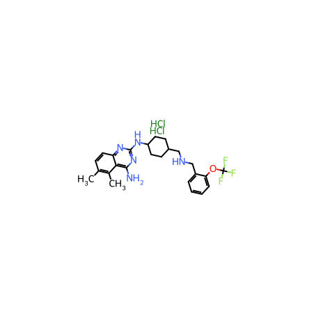 Cc1ccc2nc(NC3CCC(CNCc4ccccc4OC(F)(F)F)CC3)nc(N)c2c1C.Cl.Cl